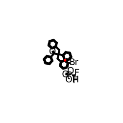 O=C(c1ccccc1)C(Cc1ccccc1)(Cc1ccc(OP(=O)(O)C(F)F)c(Br)c1)c1ccccc1